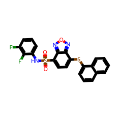 O=S(=O)(Nc1cccc(F)c1F)c1ccc(Sc2cccc3ccccc23)c2nonc12